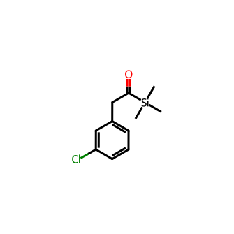 C[Si](C)(C)C(=O)Cc1cccc(Cl)c1